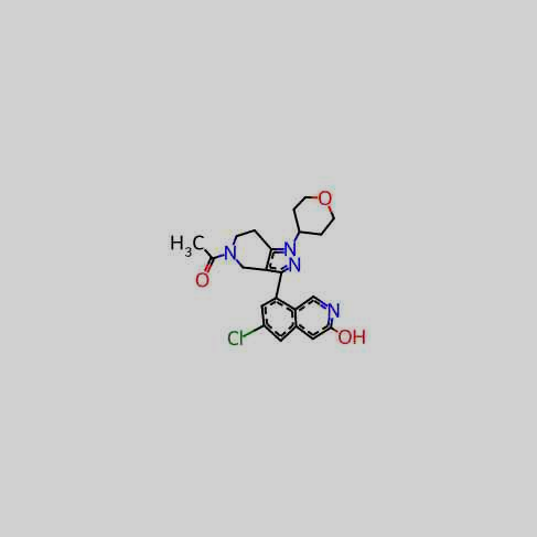 CC(=O)N1CCc2c(c(-c3cc(Cl)cc4cc(O)ncc34)nn2C2CCOCC2)C1